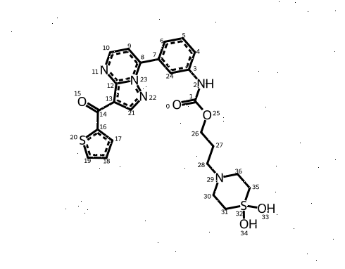 O=C(Nc1cccc(-c2ccnc3c(C(=O)c4cccs4)cnn23)c1)OCCCN1CCS(O)(O)CC1